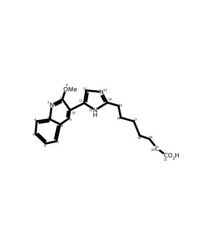 COc1nc2ccccc2cc1-c1cnc(CCCCCCC(=O)O)[nH]1